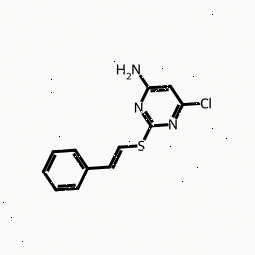 Nc1cc(Cl)nc(SC=Cc2ccccc2)n1